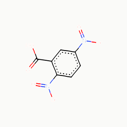 O=C(O)c1cc([N+](=O)[O-])ccc1[N+](=O)[O-]